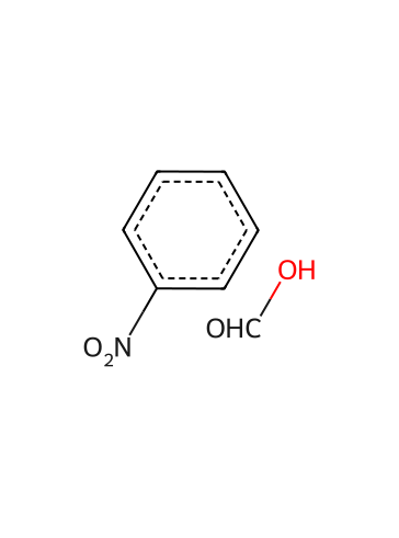 O=CO.O=[N+]([O-])c1ccccc1